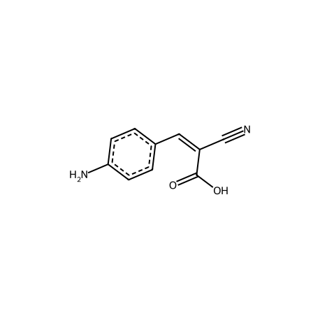 N#CC(=Cc1ccc(N)cc1)C(=O)O